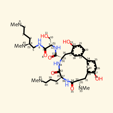 CNCCC[C@@H](CNC(=O)[C@H](CO)NC(=O)[C@@H]1Cc2cc(ccc2O)-c2ccc(O)c(c2)C[C@H](NC)C(=O)N[C@@H](CCCNC)C(=O)N1)NC